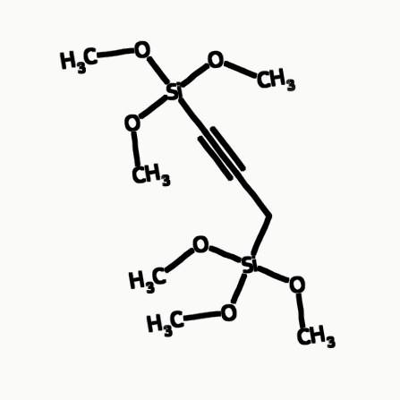 CO[Si](C#CC[Si](OC)(OC)OC)(OC)OC